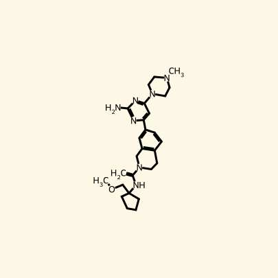 C=C(NC1(COC)CCCC1)N1CCc2ccc(-c3cc(N4CCN(C)CC4)nc(N)n3)cc2C1